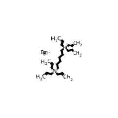 C=CC[N+](CC=C)(CC=C)CCCCCC[N+](CC=C)(CC=C)CC=C.[Br-].[Br-]